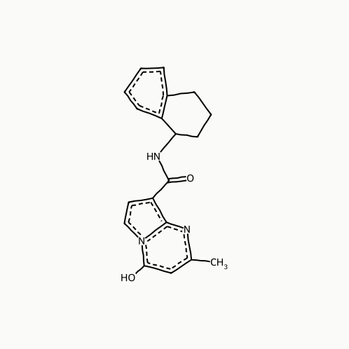 Cc1cc(O)n2ccc(C(=O)NC3CCCc4ccccc43)c2n1